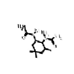 CC1CC(C)(C)CC(N(N)C(N)=O)C1N(N)C(N)=O